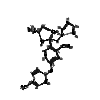 Cc1cc(Oc2ccc(C(F)(F)F)cn2)ccc1C1(Cn2cncn2)OCC(C)O1